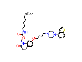 CCCCCCCCCCCCCCCNC(=O)OCN1C(=O)CCc2ccc(OCCCCN3CCN(c4cccc5sccc45)CC3)cc21